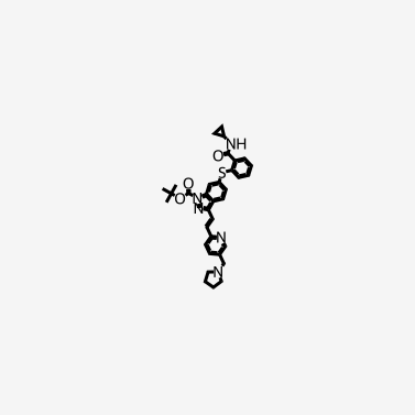 CC(C)(C)OC(=O)n1nc(/C=C/c2ccc(CN3CCCC3)cn2)c2ccc(Sc3ccccc3C(=O)NC3CC3)cc21